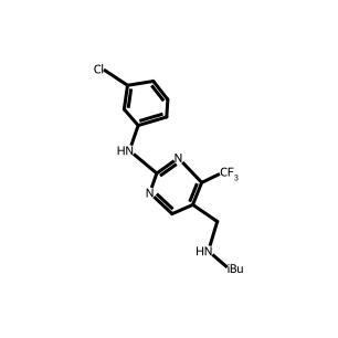 CCC(C)NCc1cnc(Nc2cccc(Cl)c2)nc1C(F)(F)F